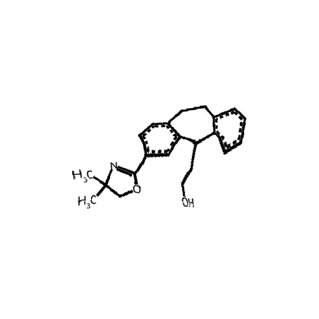 CC1(C)COC(c2ccc3c(c2)C(CCO)c2ccccc2CC3)=N1